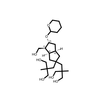 CC(CO)(CO)CC1(CC(C)(CO)CO)C[C@@H]2C[C@@H](OC3CCCCO3)[C@H](CO)[C@@H]2C1